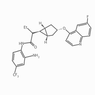 CCC(C(=O)Nc1ccc(C(F)(F)F)cc1N)[C@H]1[C@@H]2C[C@H](Oc3ccnc4ccc(F)cc34)C[C@@H]21